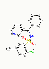 O=S(=O)(NC(c1ccccc1)c1cccnc1)c1cc(C(F)(F)F)ccc1Cl